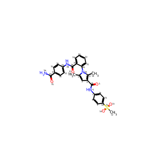 Cc1cc(C(=O)Nc2ccc(S(C)(=O)=O)cc2)c(C)n1-c1ccccc1C(=O)Nc1ccc(C(N)=O)cc1